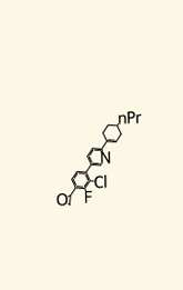 CCCC1CC=C(c2ccc(-c3ccc(C4CO4)c(F)c3Cl)cn2)CC1